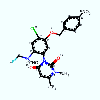 Cn1c(C(F)(F)F)cc(=O)n(-c2cc(OCc3ccc([N+](=O)[O-])cc3)c(Cl)cc2N(C=O)CF)c1=O